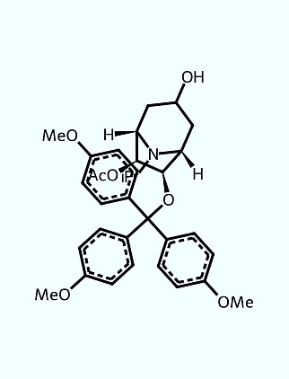 COc1ccc(C(O[C@H]2[C@@H](OC(C)=O)[C@@H]3CC(O)C[C@H]2N3C(C)C)(c2ccc(OC)cc2)c2ccc(OC)cc2)cc1